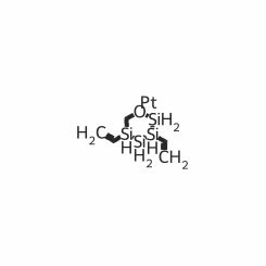 C=C[SiH]1CO[SiH2][SiH](C=C)[SiH2]1.[Pt]